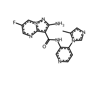 Cc1cncn1-c1ccncc1NC(=O)c1c(N)nn2cc(F)cnc12